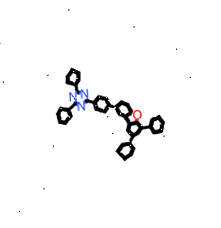 c1ccc(-c2cc(-c3ccccc3)c3oc4ccc(-c5ccc(-c6nc(-c7ccccc7)nc(-c7ccccc7)n6)cc5)cc4c3c2)cc1